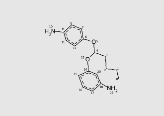 CCCCC(Oc1ccc(N)cc1)Oc1cccc(N)c1